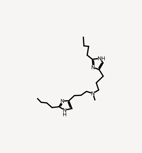 CCCCc1nc(CCCN(C)CCCc2c[nH]c(CCCC)n2)c[nH]1